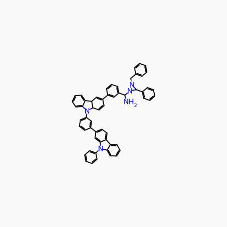 NC(c1cccc(C2=CC3c4ccccc4N(c4cccc(-c5ccc6c7ccccc7n(-c7ccccc7)c6c5)c4)C3C=C2)c1)N1C(c2ccccc2)[N@]1Cc1ccccc1